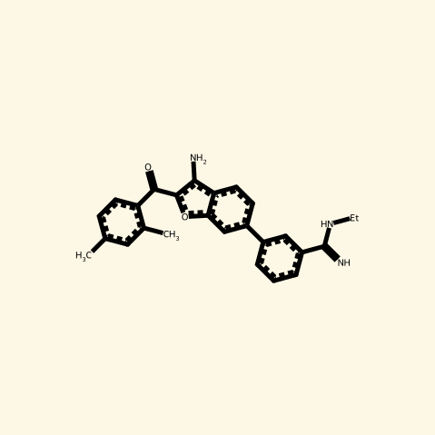 CCNC(=N)c1cccc(-c2ccc3c(N)c(C(=O)c4ccc(C)cc4C)oc3c2)c1